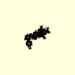 CCn1c(Oc2cccc(N3CCN(C)CC3)c2)nnc1[C@@H](C)NS(=O)(=O)c1c(C(C)C)cc(C(C)C)cc1C(C)C